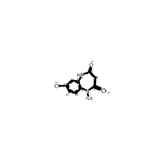 CCN1C(=O)CC(=O)Nc2cc(Cl)ccc21